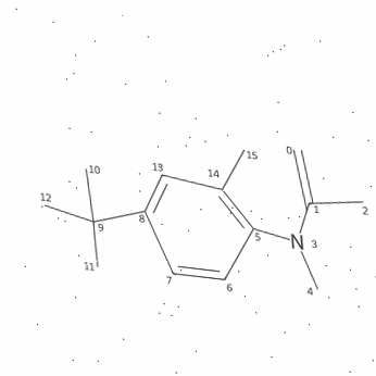 C=C(C)N(C)c1ccc(C(C)(C)C)cc1C